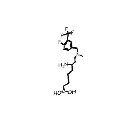 CN(CCC(N)CCCCB(O)O)Cc1ccc(F)c(C(F)(F)F)c1